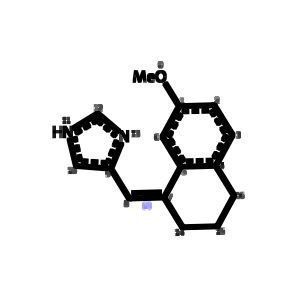 COc1ccc2c(c1)/C(=C\c1c[nH]cn1)CCC2